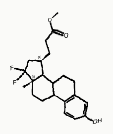 COC(=O)CC[C@@H]1CC(F)(F)[C@@]2(C)CCC3c4ccc(O)cc4CCC3C12